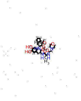 C[C@H](NC(=O)CN1CCOCC1)C(=O)N[C@@H](Cc1ccc(O)c(O)c1)C(=O)N[C@@H](CC1CCCC1)C(=O)[C@@]1(C)CO1